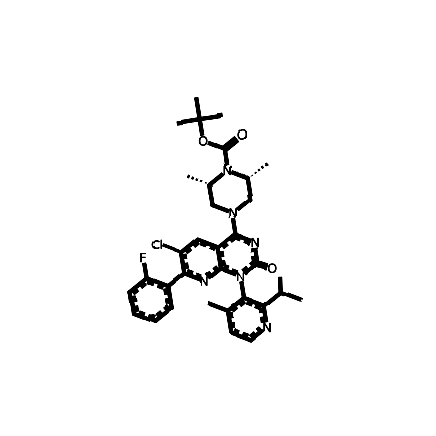 Cc1ccnc(C(C)C)c1-n1c(=O)nc(N2C[C@@H](C)N(C(=O)OC(C)(C)C)[C@@H](C)C2)c2cc(Cl)c(-c3ccccc3F)nc21